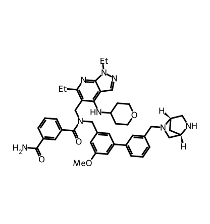 CCc1nc2c(cnn2CC)c(NC2CCOCC2)c1CN(Cc1cc(OC)cc(-c2cccc(CN3C[C@@H]4C[C@H]3CN4)c2)c1)C(=O)c1cccc(C(N)=O)c1